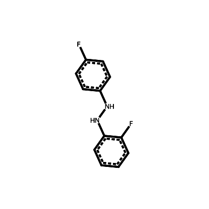 Fc1ccc(NNc2ccccc2F)cc1